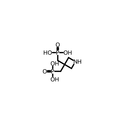 O=P(O)(O)CC1(CP(=O)(O)O)CNC1